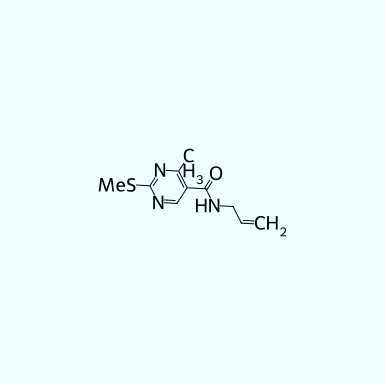 C=CCNC(=O)c1cnc(SC)nc1C